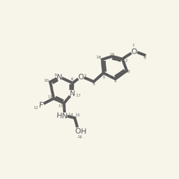 COc1ccc(COc2ncc(F)c(NCO)n2)cc1